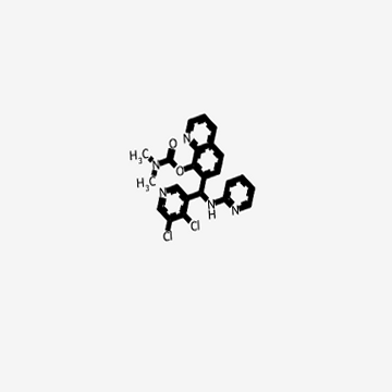 CN(C)C(=O)Oc1c(C(Nc2ccccn2)c2cncc(Cl)c2Cl)ccc2cccnc12